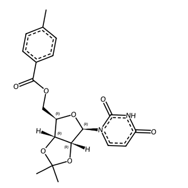 Cc1ccc(C(=O)OC[C@H]2O[C@@H](n3ccc(=O)[nH]c3=O)[C@@H]3OC(C)(C)O[C@@H]32)cc1